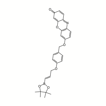 CC1(C)OB(/C=C/COc2ccc(COc3ccc4nc5ccc(=O)cc-5oc4c3)cc2)OC1(C)C